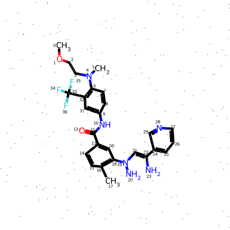 COCCN(C)c1ccc(NC(=O)c2ccc(C)c(N(N)/C=C(\N)c3cccnc3)c2)cc1C(F)(F)F